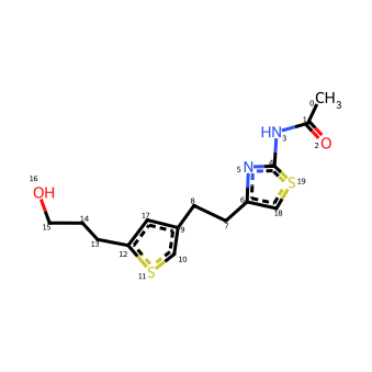 CC(=O)Nc1nc(CCc2csc(CCCO)c2)cs1